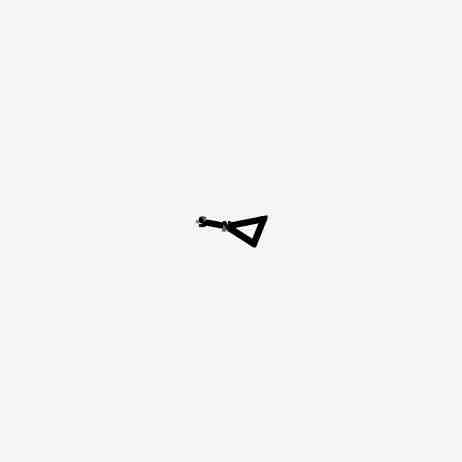 [S]N1CC1